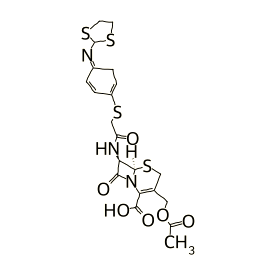 CC(=O)OCC1=C(C(=O)O)N2C(=O)[C@@H](NC(=O)CSC3=CCC(=NC4SCCS4)C=C3)[C@H]2SC1